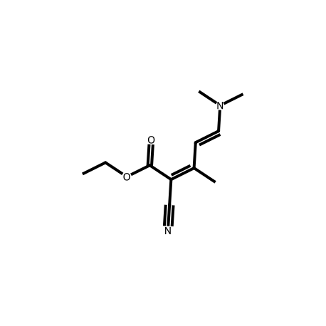 CCOC(=O)C(C#N)=C(C)C=CN(C)C